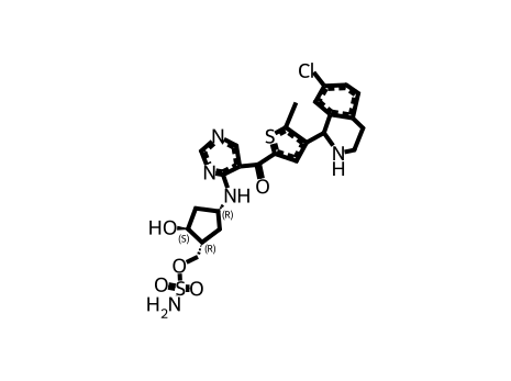 Cc1sc(C(=O)c2cncnc2N[C@@H]2C[C@H](COS(N)(=O)=O)[C@@H](O)C2)cc1C1NCCc2ccc(Cl)cc21